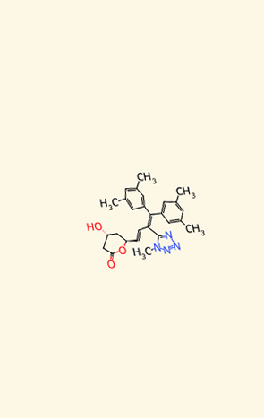 Cc1cc(C)cc(C(=C(C=C[C@@H]2C[C@@H](O)CC(=O)O2)c2nnnn2C)c2cc(C)cc(C)c2)c1